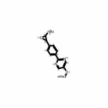 CCCCCCOc1cnc(-c2ccc(C3OC3CCCC)cc2)nc1